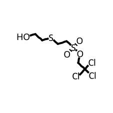 O=S(=O)(CCSCCO)OCC(Cl)(Cl)Cl